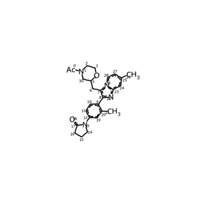 CC(=O)N1CCOC(Cc2c(-c3ccc(N4CCCC4=O)cc3C)nc3cc(C)ccn23)C1